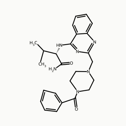 CC(C)[C@H](Nc1nc(CN2CCN(C(=O)c3ccccc3)CC2)nc2ccccc12)C(N)=O